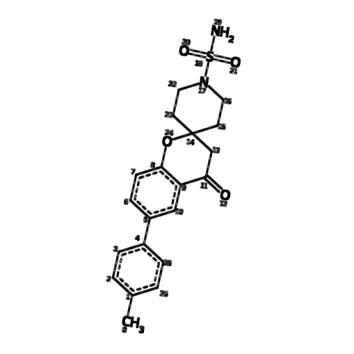 Cc1ccc(-c2ccc3c(c2)C(=O)CC2(CCN(S(N)(=O)=O)CC2)O3)cc1